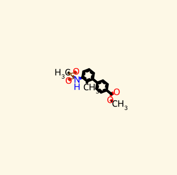 COC(=O)c1ccc(-c2cccc(NS(C)(=O)=O)c2C)cc1